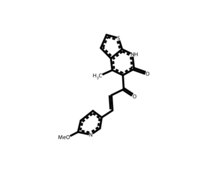 COc1ccc(C=CC(=O)c2c(C)c3ccsc3[nH]c2=O)cn1